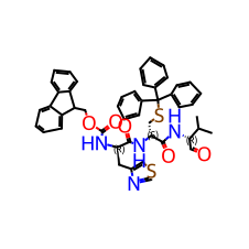 CC(C)[C@H](C=O)NC(=O)[C@@H](CSC(c1ccccc1)(c1ccccc1)c1ccccc1)NC(=O)[C@@H](Cc1cscn1)NC(=O)OCC1c2ccccc2-c2ccccc21